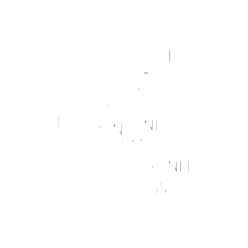 O=C1NC[C@@H](C(=O)N[C@H](c2ccc(Cl)cc2)c2ccc(C(F)(F)F)cn2)O1